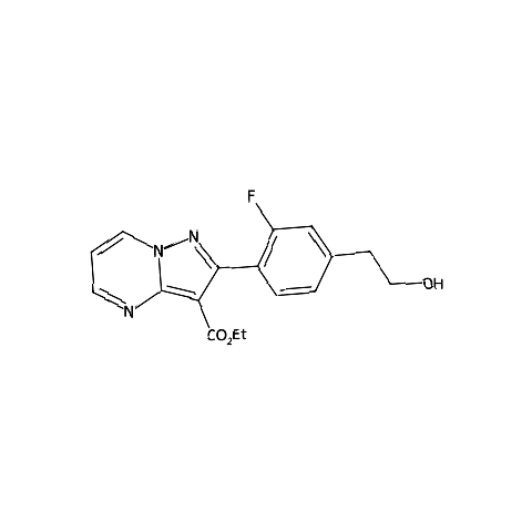 CCOC(=O)c1c(-c2ccc(CCO)cc2F)nn2cccnc12